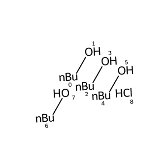 CCCCO.CCCCO.CCCCO.CCCCO.Cl